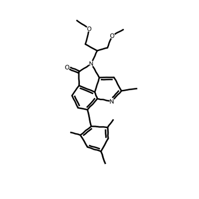 COCC(COC)N1C(=O)c2ccc(-c3c(C)cc(C)cc3C)c3nc(C)cc1c23